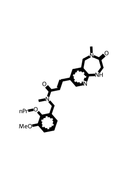 CCCOc1c(CN(C)C(=O)/C=C/c2cnc3c(c2)CN(C)C(=O)CN3)cccc1OC